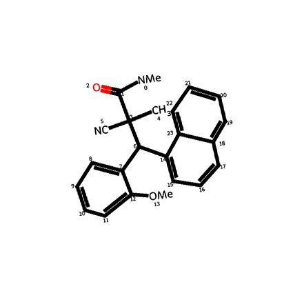 CNC(=O)C(C)(C#N)C(c1ccccc1OC)c1cccc2ccccc12